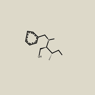 CC[C@H](C)[C@@H](CO)N(C)Cc1ccccc1